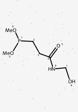 COP(CCC(=O)NCO)OC